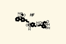 F.F.O=C(O)Nc1cc(CCCn2c(=O)[nH]c3cc(CNC[C@H](O)c4ccc(O)c5[nH]c(=O)ccc45)ccc32)ccc1-c1ccccc1